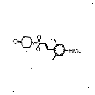 CNc1cc(C)c(C=CS(=O)(=O)N2CCC(=O)CC2)c(C)c1